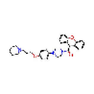 O=C(C1c2ccccc2Oc2ccccc21)N1CCN(c2ccc(OCCCN3CCCCC3)cc2)CC1